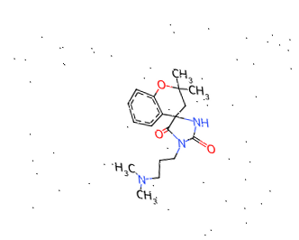 CN(C)CCCN1C(=O)NC2(CC(C)(C)Oc3ccccc32)C1=O